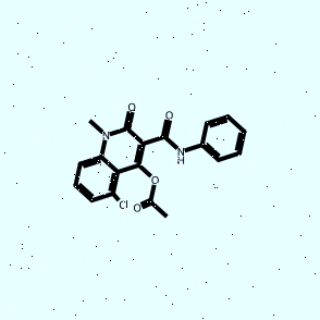 CC(=O)Oc1c(C(=O)Nc2ccccc2)c(=O)n(C)c2cccc(Cl)c12